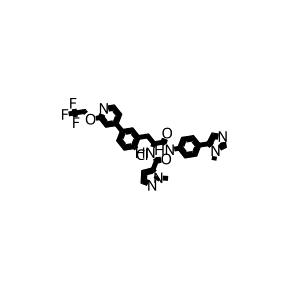 Cn1cncc1-c1ccc(NC(=O)C(Cc2cc(-c3ccnc(OCC(F)(F)F)c3)ccc2Cl)NC(=O)c2ccnn2C)cc1